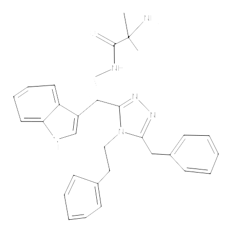 CC(C)(N)C(=O)NC[C@@H](c1c[nH]c2ccccc12)c1nnc(Cc2ccccc2)n1CCc1ccccc1